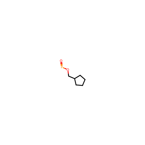 O=POCC1CCCC1